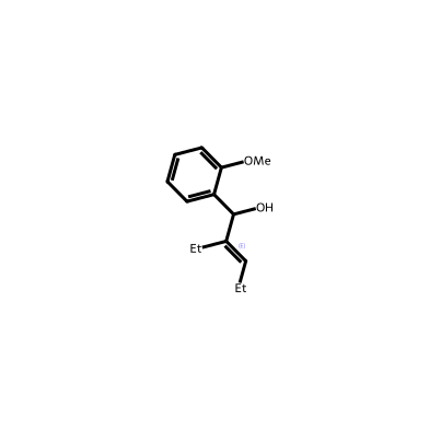 CC/C=C(\CC)C(O)c1ccccc1OC